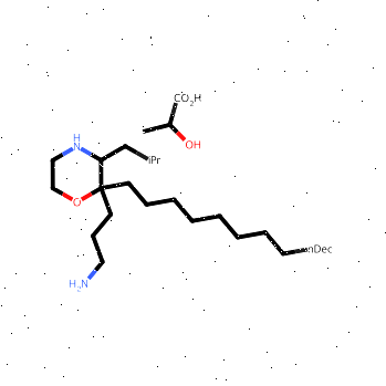 CC(O)C(=O)O.CCCCCCCCCCCCCCCCCCC1(CCCN)OCCNC1CC(C)C